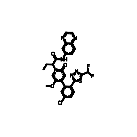 CCC(C(=O)Nc1ccc2nccnc2c1)n1cc(OC)c(-c2cc(Cl)ccc2-c2nnc(C(F)F)s2)cc1=O